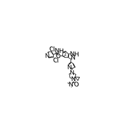 CN(C)C(=O)N1CCN(c2ccc(-c3n[nH]c4ccc(O[C@H](N)c5c(Cl)cncc5Cl)cc34)cn2)CC12CC2